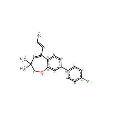 CC(=O)C=CC1=CC(C)(C)COc2cc(-c3ccc(F)cc3)ccc21